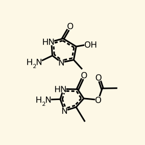 CC(=O)Oc1c(C)nc(N)[nH]c1=O.Cc1nc(N)[nH]c(=O)c1O